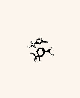 CC1(C(=O)O)C=CC=C(C(=O)O)C1.NS(=O)(=O)C1=CC(=O)N=N1